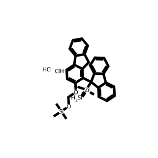 C[Si](C)(C)OCOc1ccc2c(c1[C]1([Zr]([CH3])([CH3])=[SiH2])c3ccccc3-c3ccccc31)Cc1ccccc1-2.Cl.Cl